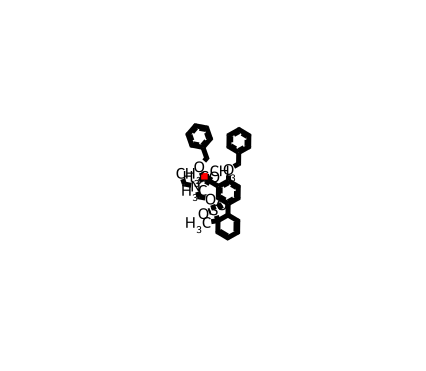 CCN(COS(=O)(=O)C1(C)C=CC=CC1c1ccc(OCc2ccccc2)c(C(C)(C)C)c1)C(=O)OCc1ccccc1